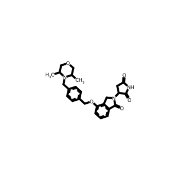 CC1COCC(C)N1Cc1ccc(COc2cccc3c2CN(C2CC(=O)NC2=O)C3=O)cc1